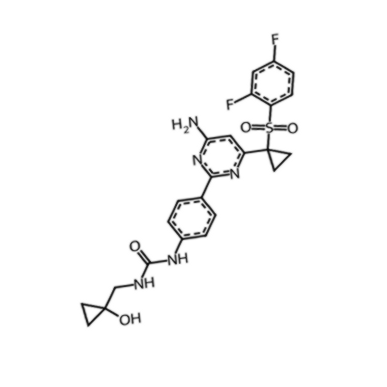 Nc1cc(C2(S(=O)(=O)c3ccc(F)cc3F)CC2)nc(-c2ccc(NC(=O)NCC3(O)CC3)cc2)n1